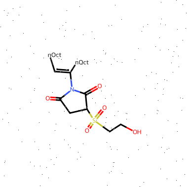 CCCCCCCC/C=C(\CCCCCCCC)N1C(=O)CC(S(=O)(=O)CCO)C1=O